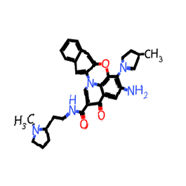 CC1CCN(c2c(N)cc3c(=O)c(C(=O)NCCC4CCCN4C)cn4c3c2Oc2cc3ccccc3cc2-4)C1